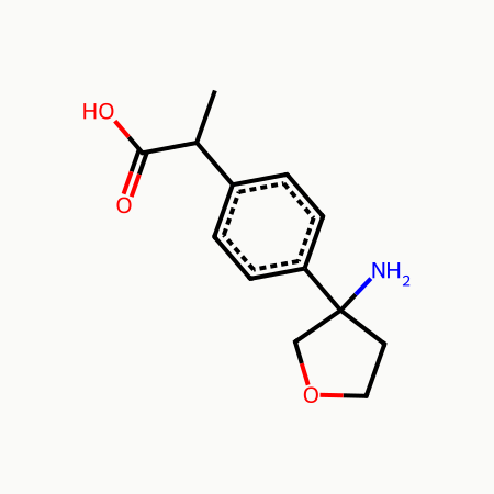 CC(C(=O)O)c1ccc(C2(N)CCOC2)cc1